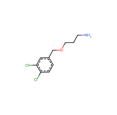 NCCCOCc1ccc(Cl)c(Cl)c1